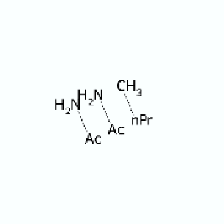 CC(N)=O.CC(N)=O.CCCC